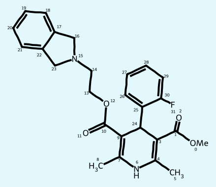 COC(=O)C1=C(C)NC(C)=C(C(=O)OCCN2Cc3ccccc3C2)C1c1ccccc1F